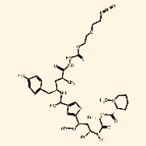 CCCO[C@H](C[C@H](C(C)C)N(CCC)C(=O)[C@@H](NC(=O)[C@H]1CCCCN1C)[C@@H](C)CC)c1nc(C(O)N[C@@H](Cc2ccc(O)cc2)C[C@H](C)C(=O)NNC(=O)OCCOCCN=[N+]=[N-])cs1